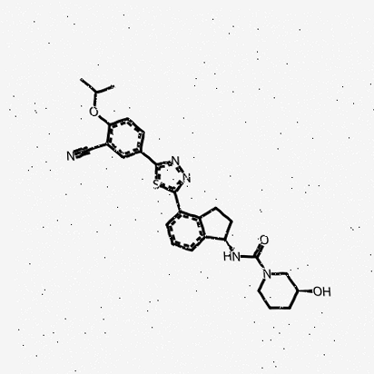 CC(C)Oc1ccc(-c2nnc(-c3cccc4c3CC[C@H]4NC(=O)N3CCC[C@H](O)C3)s2)cc1C#N